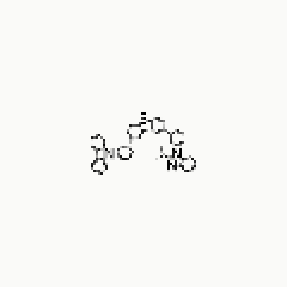 CC(C)c1nc2ccccc2n1-c1cccc(-c2ccc3sc4ccc(-c5cccc(-n6c7ccccc7c7ccccc76)c5)cc4c3c2)c1